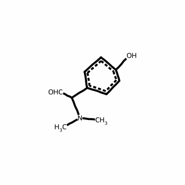 CN(C)C(C=O)c1ccc(O)cc1